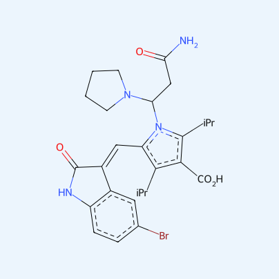 CC(C)c1c(C(=O)O)c(C(C)C)n(C(CC(N)=O)N2CCCC2)c1C=C1C(=O)Nc2ccc(Br)cc21